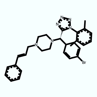 Cc1cccc(C)c1-n1nnnc1[C@H](C1C=CC(Br)=CC1)N1CCN(C/C=C/c2ccccc2)CC1